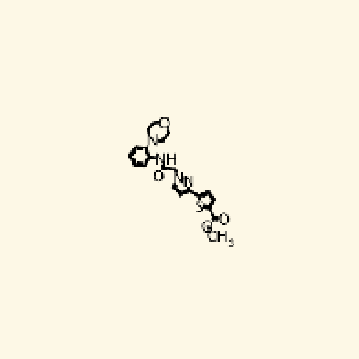 COC(=O)c1ccc(-c2ccn(CC(=O)Nc3ccccc3N3CCOCC3)n2)s1